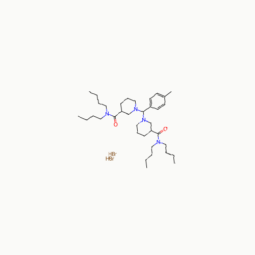 Br.Br.CCCCN(CCCC)C(=O)C1CCCN(C(c2ccc(C)cc2)N2CCCC(C(=O)N(CCCC)CCCC)C2)C1